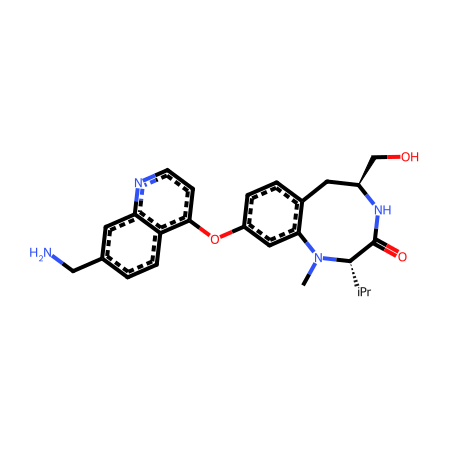 CC(C)[C@H]1C(=O)N[C@H](CO)Cc2ccc(Oc3ccnc4cc(CN)ccc34)cc2N1C